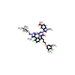 Cc1cc(OCCCc2c3n(c4c(-c5c(C)nn(COCC[Si](C)(C)C)c5C)c(Cl)ccc24)C(C)CN(c2cn(C)c4ccc(C(=O)O)cc24)C3=O)cc(C)c1Cl